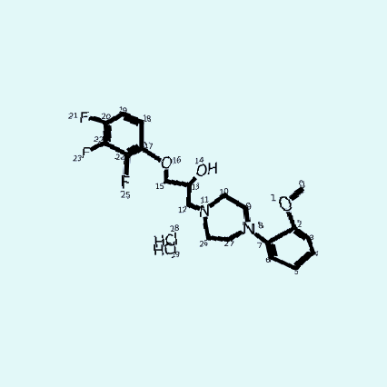 COc1ccccc1N1CCN(CC(O)COc2ccc(F)c(F)c2F)CC1.Cl.Cl